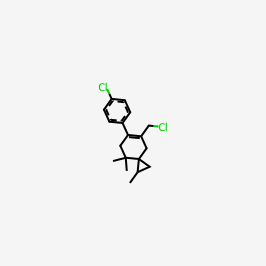 CC1CC12CC(CCl)=C(c1ccc(Cl)cc1)CC2(C)C